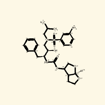 CC(C)CN(C[C@@H](O)[C@H](Cc1ccccc1)NC(=O)OC1CO[C@H]2OCCC12)S(=O)(=O)c1cncc(N)c1